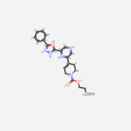 COCCOC(=O)N1CC=C(c2cncc(-c3nnc(-c4ccccc4)o3)n2)CC1